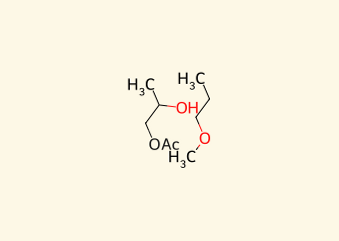 CC(=O)OCC(C)O.CCCOC